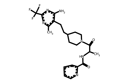 Cc1nc(C(F)(F)F)nc(N)c1CCC1CCN(C(=O)C(C)NC(=O)c2ccccn2)CC1